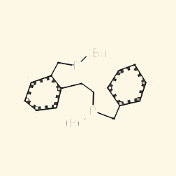 CC(C)(C)P1Cc2ccccc2[C@H]1[C@@H]1c2ccccc2C[P@]1C(C)(C)C